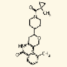 Cc1cccc2c(=O)[nH]c3c(c12)COC(C1CCN(C(=O)C2(C)CC2)CC1)C3